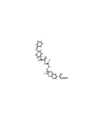 COC(=O)c1ccc(CN(C)CCCN(C)CC(=O)Nc2ccc(Oc3ccccc3)cc2)c(OC)c1